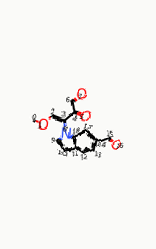 CO/C=C(/C(=O)C=O)n1ccc2ccc(C=O)cc21